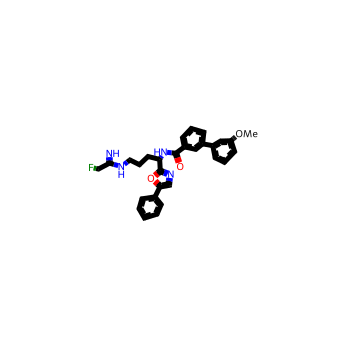 COc1cccc(-c2cccc(C(=O)NC(CCCNC(=N)CF)c3ncc(-c4ccccc4)o3)c2)c1